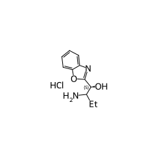 CCC(N)[C@H](O)c1nc2ccccc2o1.Cl